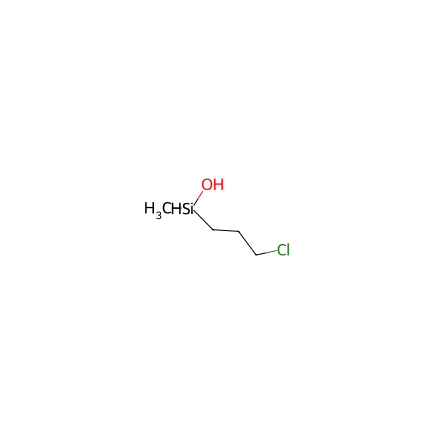 C[SiH](O)CCCCl